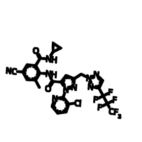 Cc1cc(C#N)cc(C(=O)NC2CC2)c1NC(=O)c1cc(Cn2ncc(C(F)(F)C(F)(F)C(F)(F)F)n2)nn1-c1ncccc1Cl